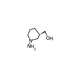 NN1CCC[C@@H](CO)C1